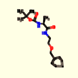 C[C@H](NC(=O)OC(C)(C)C)C(=O)NCCOCc1ccccc1